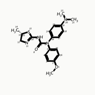 COc1ccc(N(C(=O)NC2=NC[C@H](C)S2)c2ccc(N(C)C)cc2)cc1